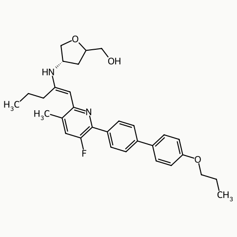 CCCOc1ccc(-c2ccc(-c3nc(/C=C(\CCC)N[C@@H]4COC(CO)C4)c(C)cc3F)cc2)cc1